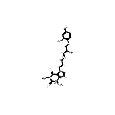 Cc1cc(O)ccc1OCC(O)CNCCCn1cnc2c1c(=O)n(C)c(=O)n2C